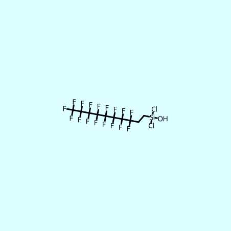 O[Si](Cl)(Cl)CCC(F)(F)C(F)(F)C(F)(F)C(F)(F)C(F)(F)C(F)(F)C(F)(F)C(F)(F)F